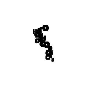 O=C(N[C@@H]1CC[C@@H]2CN(Cc3ccccc3)C[C@@H]21)c1ccc2cc(Oc3ccc(C(F)(F)F)cn3)ccc2n1